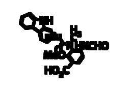 CCCCC(=O)N(C)c1c(NC=O)ccc(C(=O)O)c1OC.c1ccc2c(c1)[nH]c1ccccc12